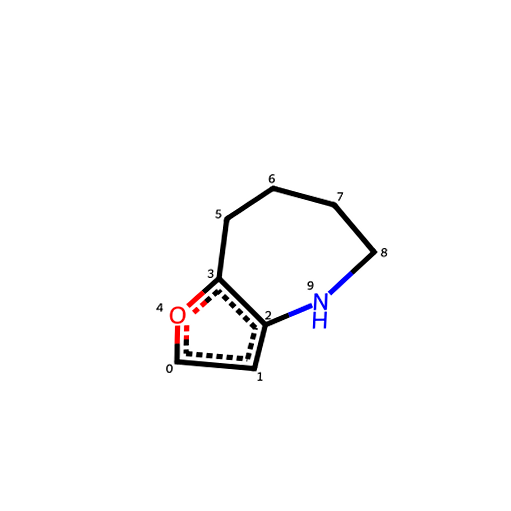 c1cc2c(o1)CCCCN2